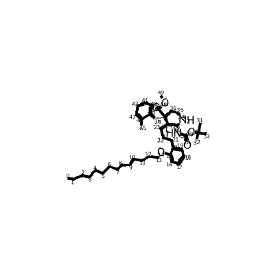 CCCCCCCCCCCCCCOc1ccccc1CCCC1[C@@H](NC(=O)OC(C)(C)C)NCC[C@]1(Cc1ccccc1C)C(=O)OC